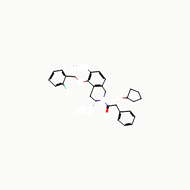 COc1ccc2c(c1OCc1ccccc1F)C[C@H](C(=O)O)N(C(=O)[C@@H](OC1CCCC1)c1ccccc1)C2